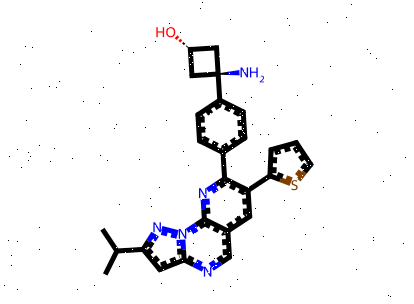 CC(C)c1cc2ncc3cc(-c4cccs4)c(-c4ccc([C@]5(N)C[C@H](O)C5)cc4)nc3n2n1